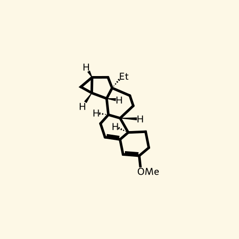 CC[C@]12CC[C@H]3[C@@H](CC=C4C=C(OC)CC[C@@H]43)[C@@H]1[C@@H]1C[C@@H]1C2